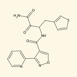 NC(=O)C(=O)C(Cc1ccsc1)NC(=O)c1conc1-c1ccccn1